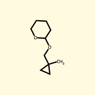 CC1(COC2CCCCO2)CC1